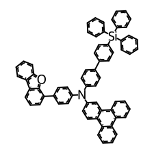 c1ccc([Si](c2ccccc2)(c2ccccc2)c2ccc(-c3ccc(N(c4ccc(-c5cccc6c5oc5ccccc56)cc4)c4ccc5c6ccccc6c6ccccc6c5c4)cc3)cc2)cc1